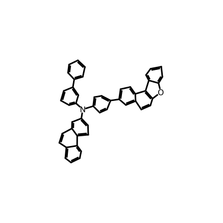 c1ccc(-c2cccc(N(c3ccc(-c4ccc5c(ccc6oc7ccccc7c65)c4)cc3)c3ccc4c(ccc5ccccc54)c3)c2)cc1